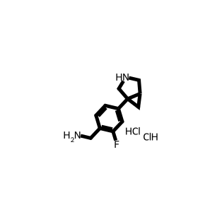 Cl.Cl.NCc1ccc(C23CNCC2C3)cc1F